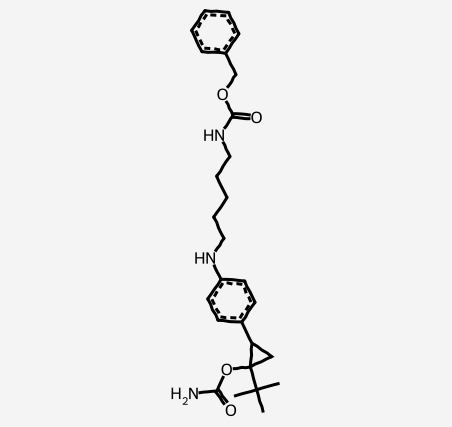 CC(C)(C)C1(OC(N)=O)CC1c1ccc(NCCCCCNC(=O)OCc2ccccc2)cc1